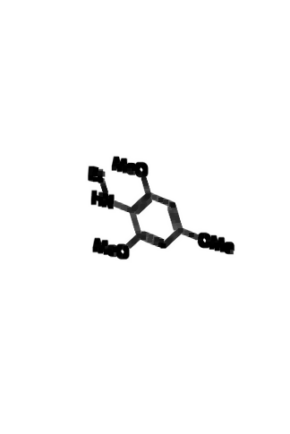 CCNc1c(OC)cc(OC)cc1OC